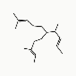 CC=CC(C)[C](CCC=C(C)C)CCC(C)=CC